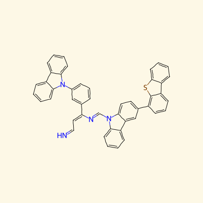 N=C/C=C(\N=C\n1c2ccccc2c2cc(-c3cccc4c3sc3ccccc34)ccc21)c1cccc(-n2c3ccccc3c3ccccc32)c1